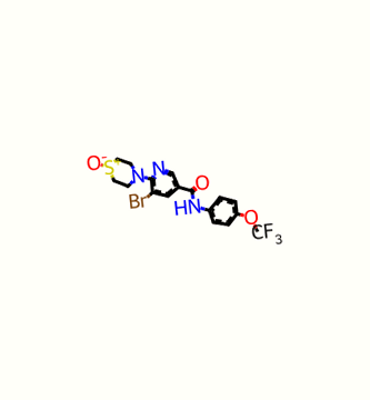 O=C(Nc1ccc(OC(F)(F)F)cc1)c1cnc(N2CC[S+]([O-])CC2)c(Br)c1